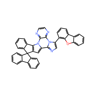 c1ccc2c(c1)-c1ccccc1C21c2ccccc2-c2c1cc1c3ncc(-c4cccc5c4oc4ccccc45)n3c3nccnc3n21